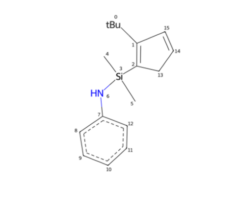 CC(C)(C)C1=C([Si](C)(C)Nc2ccccc2)CC=C1